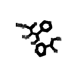 CCC(=NO)c1ccncc1.CCOC(=O)C(=O)C(C)C(=NO)c1ccncc1